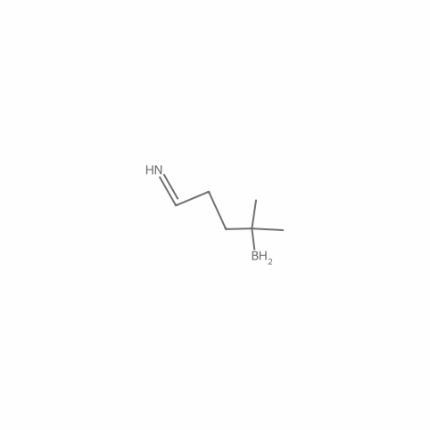 BC(C)(C)CCC=N